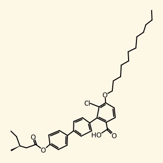 CCCCCCCCCCCCOc1ccc(C(=O)O)c(-c2ccc(-c3ccc(OC(=O)C[C@@H](C)CC)cc3)cc2)c1Cl